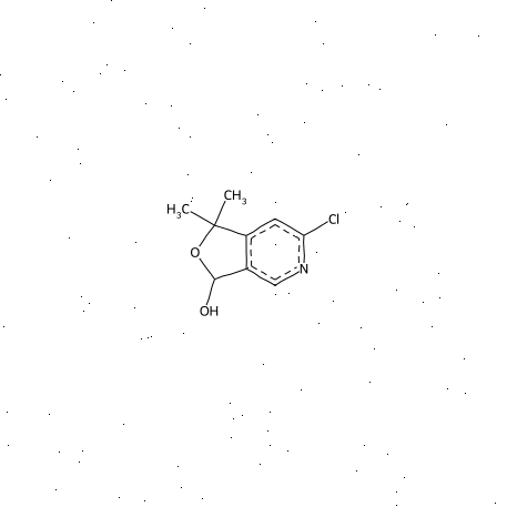 CC1(C)OC(O)c2cnc(Cl)cc21